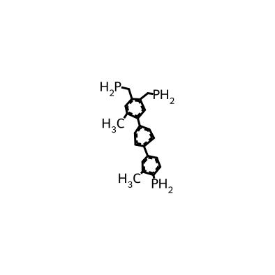 Cc1cc(-c2ccc(-c3cc(CP)c(CP)cc3C)cc2)ccc1P